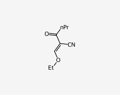 CCCC(=O)/C(C#N)=C/OCC